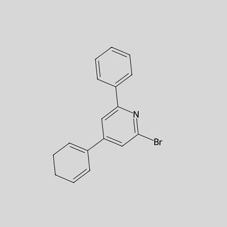 Brc1cc(C2=CCCC=C2)cc(-c2ccccc2)n1